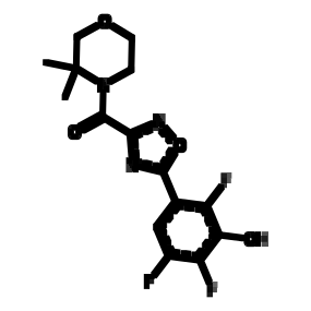 CC1(C)COCCN1C(=O)c1noc(-c2cc(F)c(F)c(O)c2F)n1